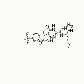 CCCCc1nc(-c2nc3c(c(=O)[nH]2)C(C)(c2ccc(C(C)(F)F)cn2)C(=O)N3)cn2ncnc12